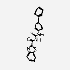 O=C(NC(=S)Nc1ccc(-c2ccccc2)cc1)c1nc2ccccc2s1